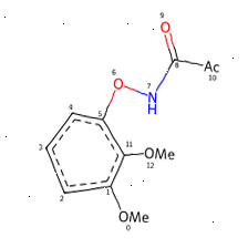 COc1cccc(ONC(=O)C(C)=O)c1OC